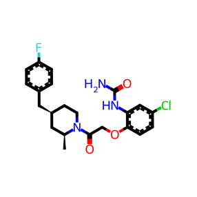 C[C@H]1C[C@@H](Cc2ccc(F)cc2)CCN1C(=O)COc1ccc(Cl)cc1NC(N)=O